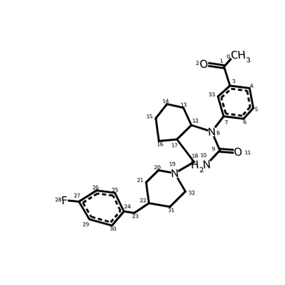 CC(=O)c1cccc(N(C(N)=O)C2CCCCC2CN2CCC(Cc3ccc(F)cc3)CC2)c1